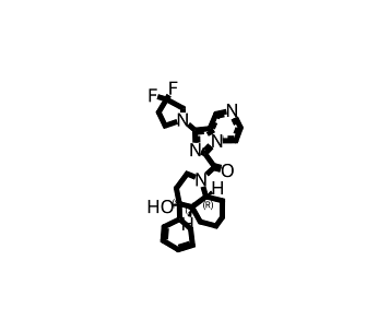 O=C(c1nc(N2CCC(F)(F)C2)c2cnccn12)N1CC[C@](O)(C2C=CC=CC2)[C@H]2CCCC[C@H]21